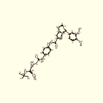 COc1ccc(-c2ccnc3cc(C(=O)Nc4ccc(NC(=O)CNC(=O)OC(C)(C)C)cc4)nn23)cc1OC